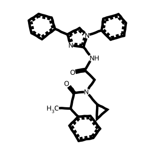 CC(C(=O)N(CC(=O)Nc1nc(-c2ccccc2)cn1-c1ccccc1)C1CC1)c1ccccc1